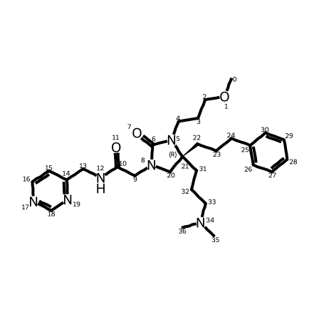 COCCCN1C(=O)N(CC(=O)NCc2ccncn2)C[C@@]1(CCCc1ccccc1)CCCN(C)C